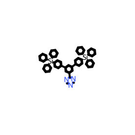 c1ccc([Si](c2ccccc2)(c2ccccc2)c2ccc(-c3cc(-c4ccc([Si](c5ccccc5)(c5ccccc5)c5ccccc5)cc4)cc(-c4ncncn4)c3)cc2)cc1